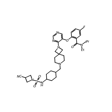 CCN(C(=O)c1cc(F)ccc1Oc1cncnc1N1CC2(CCN(CC3CCC(NS(=O)(=O)N4CC(C#N)C4)CC3)CC2)C1)C(C)C